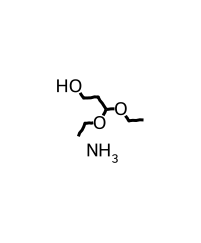 CCOC(CCO)OCC.N